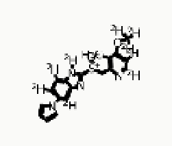 [2H]c1nc(C[S+]([O-])c2nc3c([2H])c(-n4cccc4)c([2H])c([2H])c3n2[2H])c(C)c(OC([2H])([2H])[2H])c1[2H]